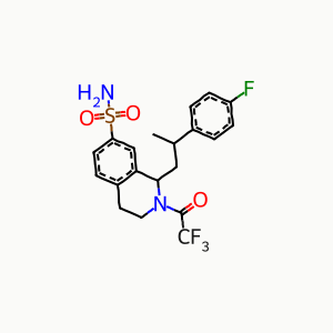 CC(CC1c2cc(S(N)(=O)=O)ccc2CCN1C(=O)C(F)(F)F)c1ccc(F)cc1